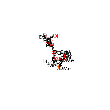 C=C1C[C@H](CCC23C[C@H]4O[C@H]5[C@@H](O2)[C@@H](O[Si](CC)(CC)CC)[C@H](CCCO)O[C@H]5[C@H]4O3)O[C@H]1CC[C@H]1C[C@@H](C)C(=C)[C@@H](C[C@@H]2O[C@H](CC(CO[Si](CC)(CC)CC)O[Si](CC)(CC)CC)[C@H](OC)[C@H]2CC(=O)CP(=O)(OC)OC)O1